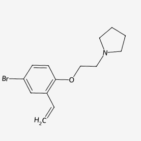 C=Cc1cc(Br)ccc1OCCN1CCCC1